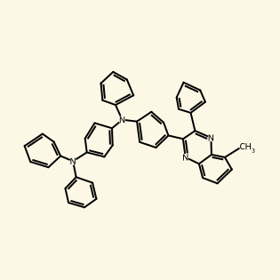 Cc1cccc2nc(-c3ccc(N(c4ccccc4)c4ccc(N(c5ccccc5)c5ccccc5)cc4)cc3)c(-c3ccccc3)nc12